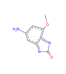 COc1cc(N)cc2c1=NC(=O)N=2